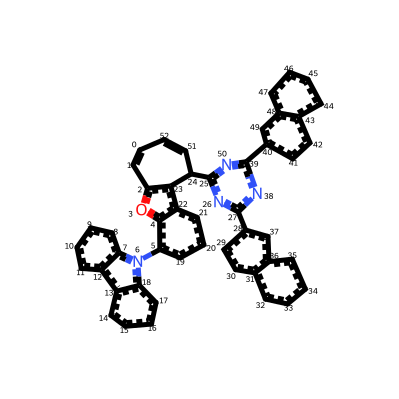 C1=Cc2oc3c(-n4c5ccccc5c5ccccc54)cccc3c2C(c2nc(-c3ccc4ccccc4c3)nc(-c3ccc4ccccc4c3)n2)C=C1